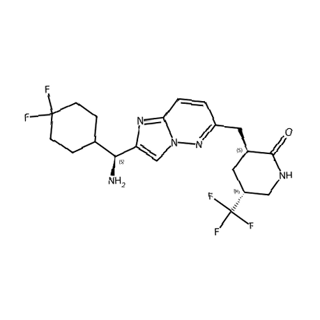 N[C@H](c1cn2nc(C[C@@H]3C[C@@H](C(F)(F)F)CNC3=O)ccc2n1)C1CCC(F)(F)CC1